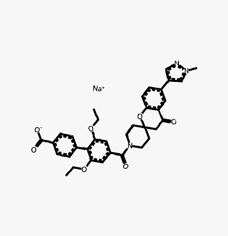 CCOc1cc(C(=O)N2CCC3(CC2)CC(=O)c2cc(-c4cnn(C)c4)ccc2O3)cc(OCC)c1-c1ccc(C(=O)[O-])cc1.[Na+]